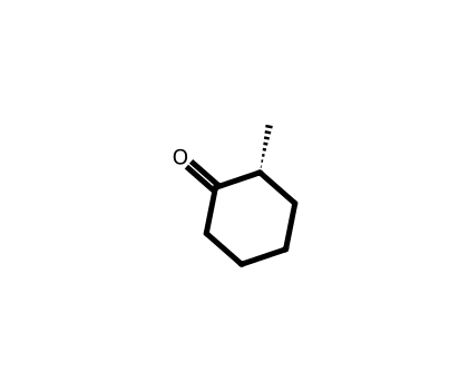 C[C@@H]1CCCCC1=O